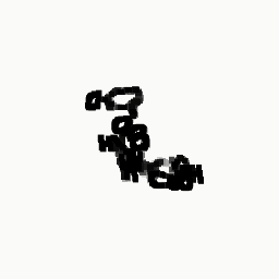 CC(C)C[C@H](NC(=O)OCc1cccc(Cl)c1)C(=O)N[C@H](C=O)C[C@@H]1CCNC1=O